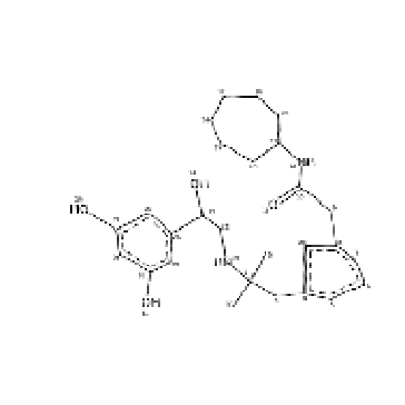 CC(C)(Cc1cccc(CC(=O)NC2CCCCCC2)c1)NCC(O)c1cc(O)cc(O)c1